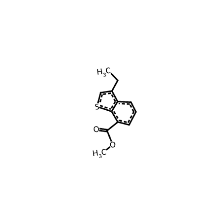 CCc1csc2c(C(=O)OC)cccc12